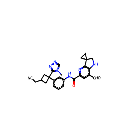 Cn1cnnc1C1(c2cccc(NC(=O)c3cc(C=O)c4c(n3)C3(CC3)CN4)c2)CC(CC#N)C1